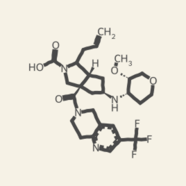 C=CCC1[C@@H]2C[C@@H](N[C@H]3CCOC[C@H]3OC)C[C@]2(C(=O)N2CCc3ncc(C(F)(F)F)cc3C2)CN1C(=O)O